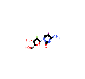 Nc1nc(=O)n([C@@H]2O[C@H](CO)[C@H](O)C2F)cc1I